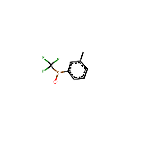 Cc1cccc([S+]([O-])C(F)(F)F)c1